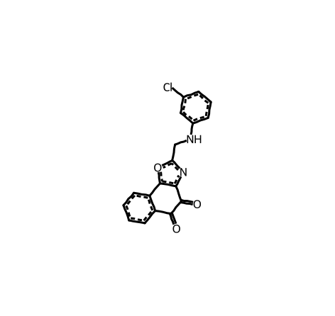 O=C1C(=O)c2nc(CNc3cccc(Cl)c3)oc2-c2ccccc21